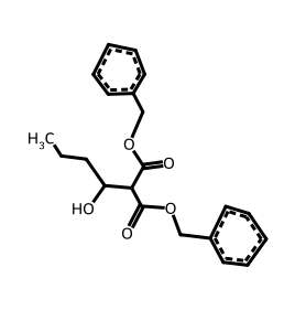 CCCC(O)C(C(=O)OCc1ccccc1)C(=O)OCc1ccccc1